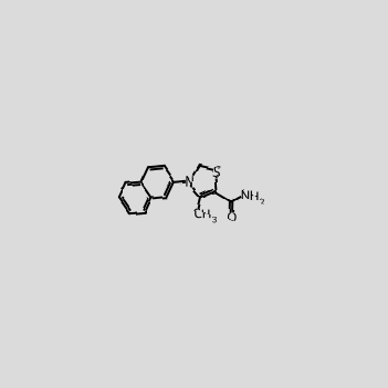 CC1=C(C(N)=O)SCN1c1ccc2ccccc2c1